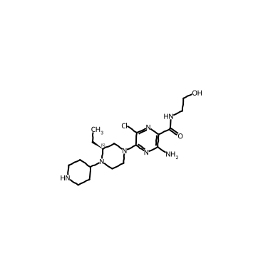 CC[C@H]1CN(c2nc(N)c(C(=O)NCCO)nc2Cl)CCN1C1CCNCC1